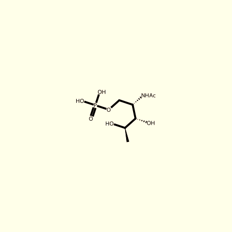 CC(=O)N[C@@H](COP(=O)(O)O)[C@H](O)[C@@H](C)O